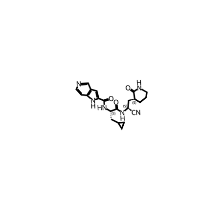 N#C[C@H](C[C@@H]1CCCNC1=O)NC(=O)[C@H](CC1CC1)NC(=O)c1cc2cnccc2[nH]1